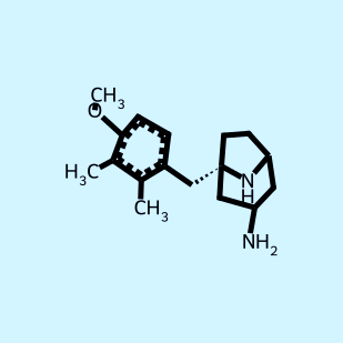 COc1ccc(C[C@@]23CCC(CC(N)C2)N3)c(C)c1C